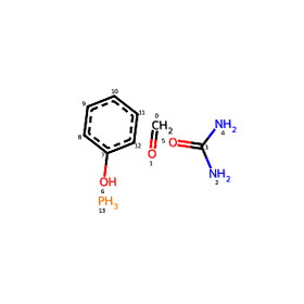 C=O.NC(N)=O.Oc1ccccc1.P